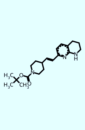 CC(C)(C)OC(=O)N1CCC(/C=C/c2ccc3c(n2)NCCC3)CC1